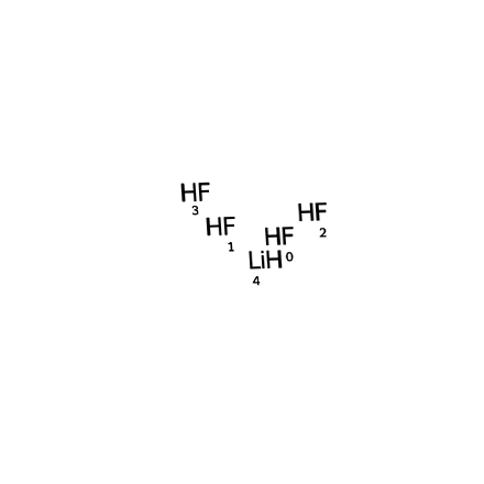 F.F.F.F.[LiH]